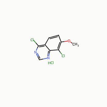 COc1ccc2c(Cl)ncnc2c1Cl.Cl